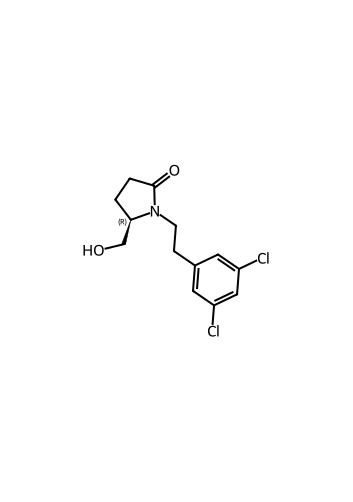 O=C1CC[C@H](CO)N1CCc1cc(Cl)cc(Cl)c1